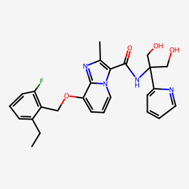 CCc1cccc(F)c1COc1cccn2c(C(=O)NC(CO)(CO)c3ccccn3)c(C)nc12